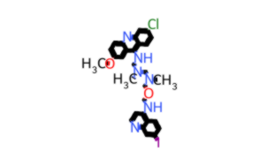 COc1ccc2nc3cc(Cl)ccc3c(NCN(C)CN(C)COCNc3ccnc4cc(I)ccc34)c2c1